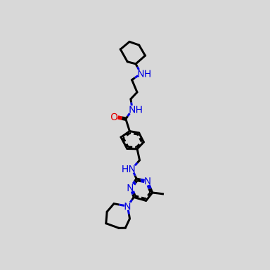 Cc1cc(N2CCCCCC2)nc(NCc2ccc(C(=O)NCCCNC3CCCCC3)cc2)n1